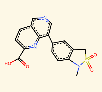 CN1c2ccc(-c3cncc4ccc(C(=O)O)nc34)cc2CS1(=O)=O